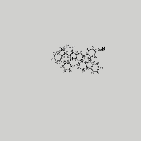 N#Cc1ccc(-c2ccc3c(c2)c2c(n3-c3ccccc3)-c3c(oc4ccccc34)CC2)c(-n2c3ccccc3c3ccccc32)c1